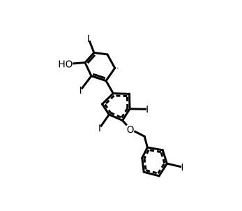 OC1=C(I)C[CH]C(c2cc(I)c(OCc3cccc(I)c3)c(I)c2)=C1I